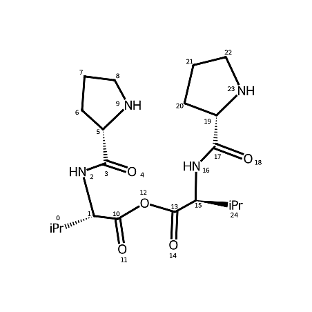 CC(C)[C@H](NC(=O)[C@@H]1CCCN1)C(=O)OC(=O)[C@@H](NC(=O)[C@@H]1CCCN1)C(C)C